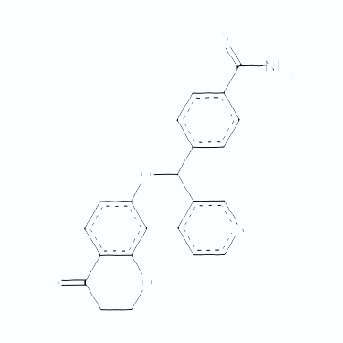 NC(=O)c1ccc(C(Oc2ccc3c(c2)OCCC3=O)c2cccnc2)cc1